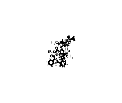 C=C[C@@H]1C[C@]1(NC(=O)[C@@H]1C[C@@]2(CN1C(=O)[C@@H](NC(=O)[C@@H](NC(=O)c1cncnc1)C1CCCCC1)C(C)(C)C)C(C)(C)C21CCC1)C(=O)NS(=O)(=O)C1CC1